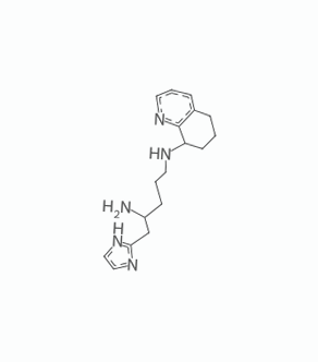 NC(CCCNC1CCCc2cccnc21)Cc1ncc[nH]1